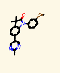 CSc1cccc(N2C(=O)C(C)(C)c3ccc(-c4cnc(C)nc4)cc32)c1